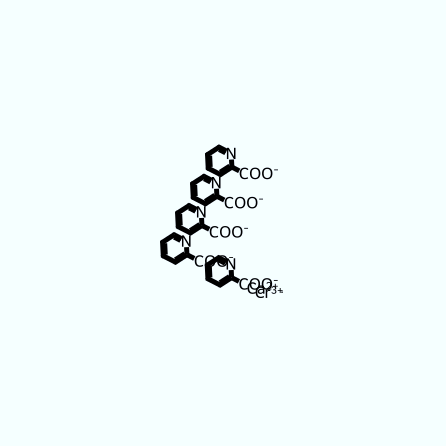 O=C([O-])c1ccccn1.O=C([O-])c1ccccn1.O=C([O-])c1ccccn1.O=C([O-])c1ccccn1.O=C([O-])c1ccccn1.[Ca+2].[Cr+3]